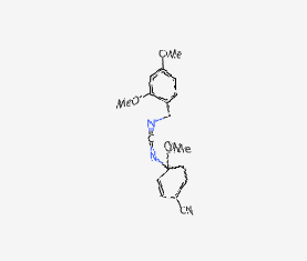 COc1ccc(CN=C=NC2(OC)C=CC(C#N)=CC2)c(OC)c1